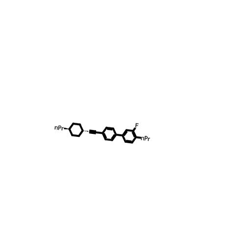 CCCc1ccc(-c2ccc(C#C[C@H]3CC[C@H](CCC)CC3)cc2)cc1F